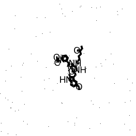 CCC(=O)CCCCC[C@H](NC(=O)Cc1c(C)[nH]c2ccc(OC)cc12)c1ncc(-c2cccc([N+](=O)[O-])c2)[nH]1